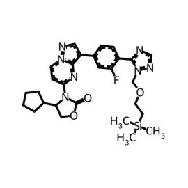 C[Si](C)(C)CCOCn1ncnc1-c1ccc(-c2cnn3ccc(N4C(=O)OCC4C4CCCC4)nc23)cc1F